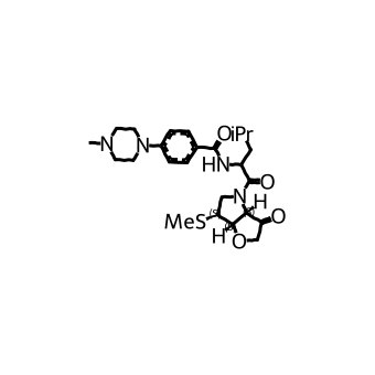 CS[C@H]1CN(C(=O)C(CC(C)C)NC(=O)c2ccc(N3CCN(C)CC3)cc2)[C@@H]2C(=O)CO[C@H]12